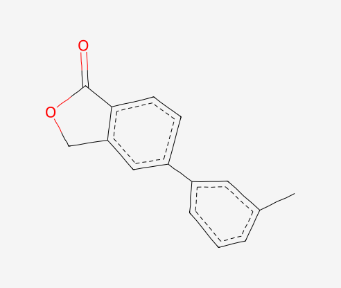 Cc1cccc(-c2ccc3c(c2)COC3=O)c1